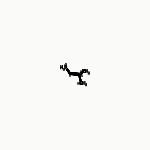 CC(C)=CP